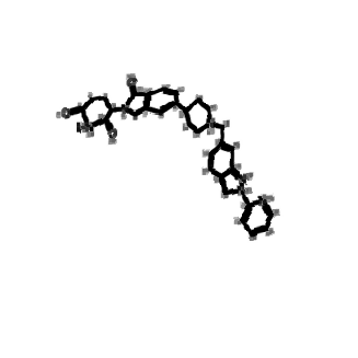 O=C1CCC(N2Cc3cc(C4CCN(Cc5ccc6cn(-c7ccccn7)nc6c5)CC4)ccc3C2=O)C(=O)N1